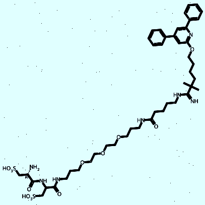 CC(C)(CCCCOc1cc(-c2ccccc2)cc(-c2ccccc2)n1)C(=N)NCCCCC(=O)NCCCOCCOCCOCCCNC(=O)C(CS(=O)(=O)O)NC(=O)[C@@H](N)CS(=O)(=O)O